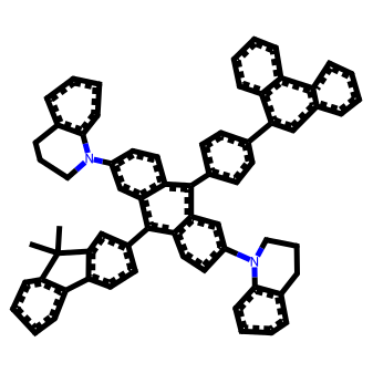 CC1(C)c2ccccc2-c2ccc(-c3c4ccc(N5CCCc6ccccc65)cc4c(-c4ccc(-c5cc6ccccc6c6ccccc56)cc4)c4ccc(N5CCCc6ccccc65)cc34)cc21